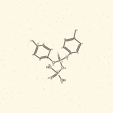 Cc1ccc(OP(=S)(Oc2ccc(C)cc2)OP(O)(O)=S)cc1